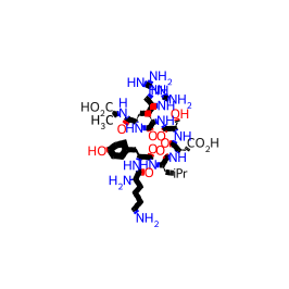 CC(C)C[C@H](NC(=O)[C@H](Cc1ccc(O)cc1)NC(=O)[C@@H](N)CCCCN)C(=O)N[C@@H](CC(=O)O)C(=O)N[C@@H](CO)C(=O)N[C@@H](CCCNC(=N)N)C(=O)N[C@@H](CCCNC(=N)N)C(=O)N[C@@H](C)C(=O)O